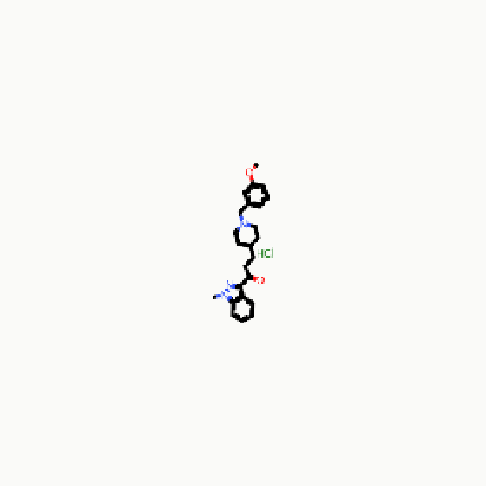 COc1cccc(CN2CCC(CCC(=O)c3nn(C)c4ccccc34)CC2)c1.Cl